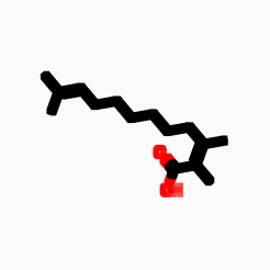 CC(C)=CCCCCCCC(C)=C(C)C(=O)O